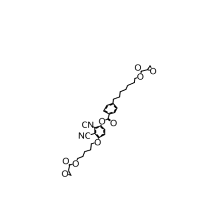 [C-]#[N+]c1c(OC(=O)c2ccc(CCCCCCCOC(=O)C3CO3)cc2)ccc(OCCCCCOC(=O)C2CO2)c1C#N